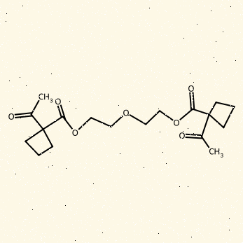 CC(=O)C1(C(=O)OCCOCCOC(=O)C2(C(C)=O)CCC2)CCC1